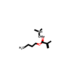 C=C(C)C(=O)OCCC[SiH3].CO[SiH](C)C